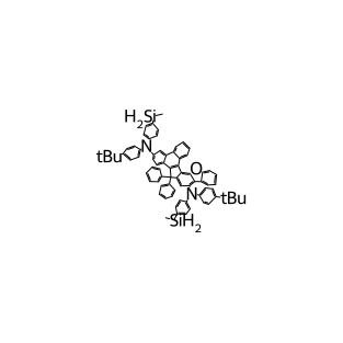 C[SiH2]c1ccc(N(c2ccc(C(C)(C)C)cc2)c2ccc3c4c(c5ccccc5c3c2)-c2c(cc(N(c3ccc([SiH2]C)cc3)c3ccc(C(C)(C)C)cc3)c3c2oc2ccccc23)C4(c2ccccc2)c2ccccc2)cc1